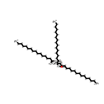 CCCC[O][Ti](=[O])([O]C(=O)CCCCCCCCCCCCCCC(C)C)([C](=O)CCCCCCCCCCCCCCC(C)C)[C](=O)CCCCCCCCCCCCCCC(C)C